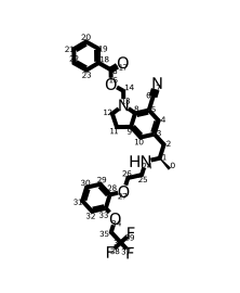 C[C@H](Cc1cc(C#N)c2c(c1)CCN2COC(=O)c1ccccc1)NCCOc1ccccc1OCC(F)(F)F